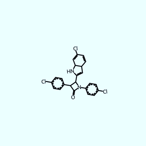 O=C1C(c2ccc(Cl)cc2)C(C2=CC3C=CC(Cl)=CC3N2)N1c1ccc(Cl)cc1